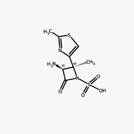 Cc1nc([C@]2(C)[C@H](N)C(=O)N2S(=O)(=O)O)cs1